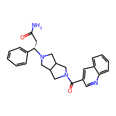 NC(=O)C[C@@H](c1ccccc1)N1CC2CN(C(=O)c3cnc4ccccc4c3)CC2C1